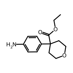 CCOC(=O)C1(c2ccc(N)cc2)CCOCC1